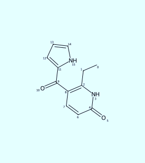 CCc1[nH]c(=O)ccc1C(=O)c1ccc[nH]1